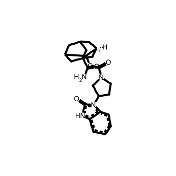 NC(=O)C12CC3CC(C1)C(OC(=O)N1CCC(n4c(=O)[nH]c5ccccc54)C1)[C@@H](C3)C2